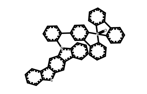 O=S12(c3ccccc3-c3ccccc31)c1ccccc1-c1cc(-c3ccccc3-n3c4ccccc4c4cc5sc6ccccc6c5cc43)ccc12